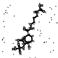 O=C(O)NCCCONC(=O)[C@@H]1CC[C@@H]2CN1C(=O)N2OS(=O)(=O)O